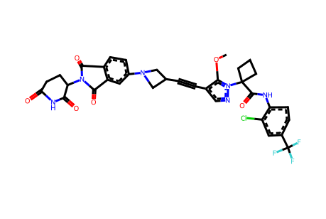 COc1c(C#CC2CN(c3ccc4c(c3)C(=O)N(C3CCC(=O)NC3=O)C4=O)C2)cnn1C1(C(=O)Nc2ccc(C(F)(F)F)cc2Cl)CCC1